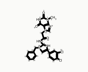 Cn1c(=O)[nH]c(=O)c2c1ncn2CC(=O)NC1NC(c2ccc(Cl)c(Cl)c2)=CN1Cc1ccccc1